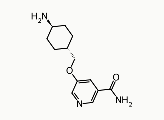 NC(=O)c1cncc(OC[C@H]2CC[C@H](N)CC2)c1